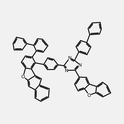 c1ccc(-c2ccc(-c3nc(-c4ccc(-c5c(-c6ccccc6-c6ccccc6)ccc6oc7cc8ccccc8cc7c56)cc4)nc(-c4ccc5oc6ccccc6c5c4)n3)cc2)cc1